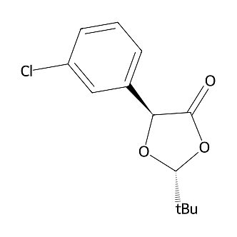 CC(C)(C)[C@H]1OC(=O)[C@H](c2cccc(Cl)c2)O1